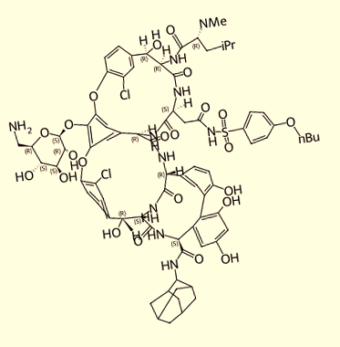 CCCCOc1ccc(S(=O)(=O)NC(=O)C[C@@H]2NC(=O)[C@H](NC(=O)[C@@H](CC(C)C)NC)[C@H](O)c3ccc(c(Cl)c3)Oc3cc4cc(c3O[C@@H]3O[C@H](CN)[C@@H](O)[C@H](O)[C@H]3O)Oc3ccc(cc3Cl)[C@@H](O)[C@@H]3NC(=O)[C@H](NC(=O)[C@@H]4NC2=O)c2ccc(O)c(c2)-c2c(O)cc(O)cc2[C@@H](C(=O)NC2C4CC5CC(C4)CC2C5)NC3=O)cc1